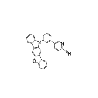 N#Cc1ccc(-c2cccc(-n3c4ccccc4c4cc5oc6ccccc6c5cc43)c2)cn1